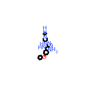 N=C(C1=CCC=C(Oc2ccccc2)C=C1)c1c(N)ncnc1NC1CCN(C2CNC2)CC1